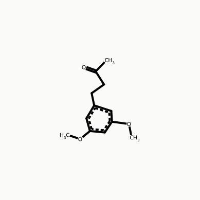 COc1cc(CCC(C)=O)cc(OC)c1